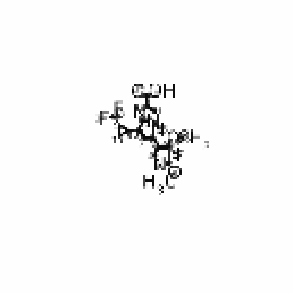 COc1ncc(-c2cc([C@H]3C[C@@H]3C(F)F)c3nc(C(=O)O)cn3n2)c(OC)n1